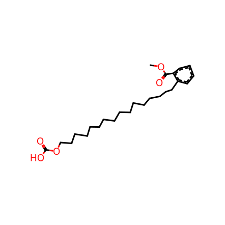 COC(=O)c1ccccc1CCCCCCCCCCCCCCCCOC(=O)O